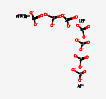 O=[Si]([O-])[O-].O=[Si]([O-])[O-].O=[Si]([O-])[O-].O=[Si]([O-])[O-].O=[Si]([O-])[O-].O=[Si]([O-])[O-].O=[Si]([O-])[O-].[Al+3].[Al+3].[Al+3].[Al+3].[Li+].[Li+]